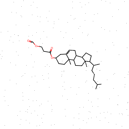 CC(C)CCCC(C)C1CCC2C3CC=C4CC(OC(=O)CCOC=O)CCC4(C)C3CCC12C